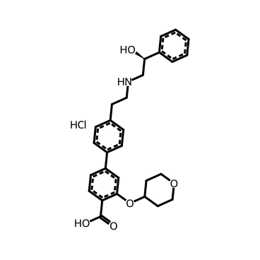 Cl.O=C(O)c1ccc(-c2ccc(CCNC[C@@H](O)c3ccccc3)cc2)cc1OC1CCOCC1